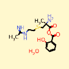 CC(=N)NCCSC[C@](C)(N)C(=O)OC(=O)c1ccccc1O.O